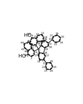 Oc1ccc(C2(c3ccc(O)c4ccccc34)c3ccc(-c4ccccc4)cc3-c3cc(-c4ccccc4)ccc32)c2ccccc12